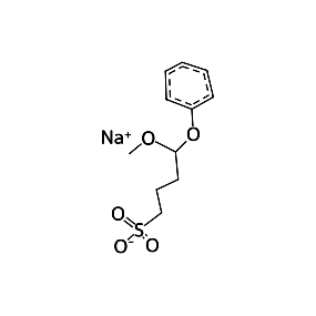 COC(CCCS(=O)(=O)[O-])Oc1ccccc1.[Na+]